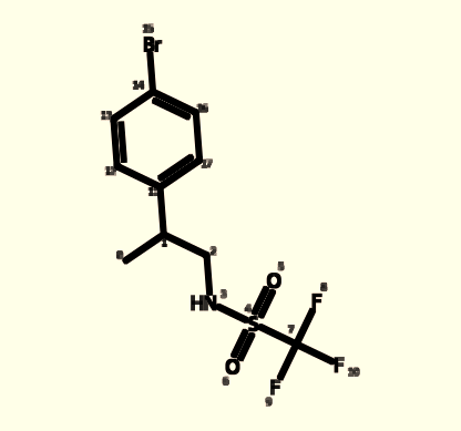 CC(CNS(=O)(=O)C(F)(F)F)c1ccc(Br)cc1